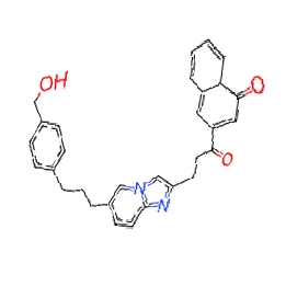 O=C(CCc1cn2cc(CCCc3ccc(CO)cc3)ccc2n1)C1=CC(=O)C2C=CC=CC2=C1